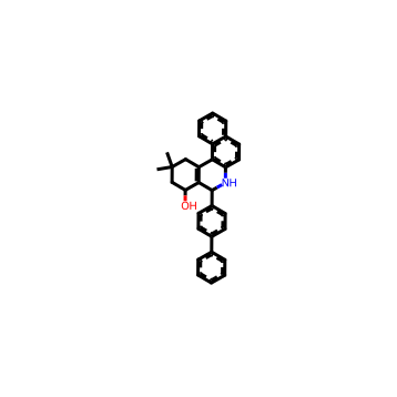 CC1(C)CC2=C(C(O)C1)C(c1ccc(-c3ccccc3)cc1)Nc1ccc3ccccc3c12